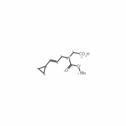 CC(C)(C)OC(=O)N(C/C=C/C1CC1)CC(=O)O